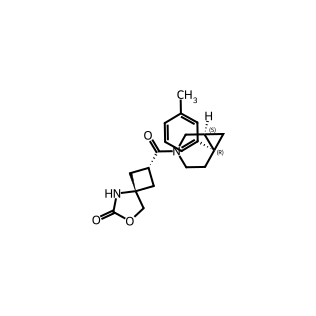 Cc1cccc([C@]23CCN(C(=O)[C@H]4C[C@]5(COC(=O)N5)C4)C[C@H]2C3)c1